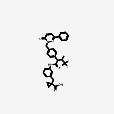 CC(C(C(=O)Nc1cccc(CC2(C(=O)O)CC2)c1)c1ccc(Cn2nc(-c3ccccc3)ccc2=O)cc1)C(F)(F)F